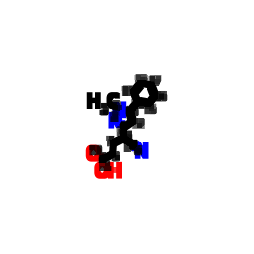 Cn1nc(C(C#N)CCC(=O)O)cc1-c1ccccc1